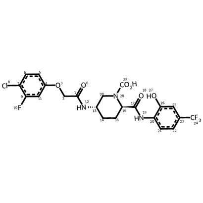 O=C(COc1ccc(Cl)c(F)c1)N[C@H]1CC[C@H](C(=O)Nc2ccc(C(F)(F)F)cc2O)N(C(=O)O)C1